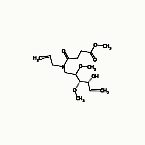 C=CCN(CC(OC)[C@@H](OC)[C@H](O)C=C)C(=O)CCC(=O)OC